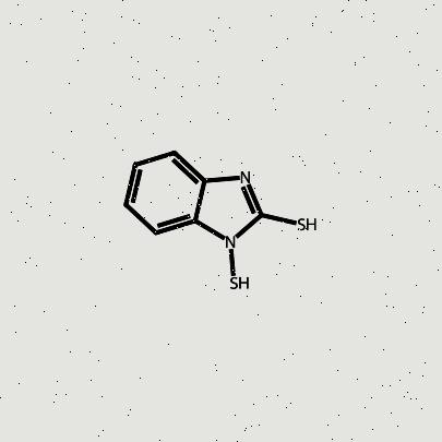 Sc1nc2ccccc2n1S